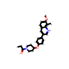 CCC(=O)N1CCC(Oc2ccc(-c3cnc4c(C)c(OC)ccc4c3)cc2)CC1